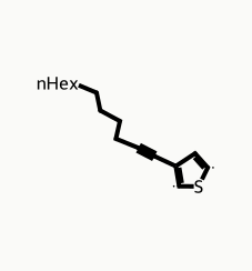 CCCCCCCCCCC#Cc1[c]s[c]c1